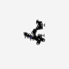 C#C[C@H]1CC(F)(F)CN1C(=O)CNC(=O)c1ccnc2ccc(OCCCCN3CCN(C(=O)CCCCCNC(=O)[C@H](CCCC/N=C(\C)NC(=O)CCCc4ccc(C)cc4)NC(=O)CN4CCN(COC=O)CCN(COC=O)CCN(CC(=O)O)CC4)CC3)cc12